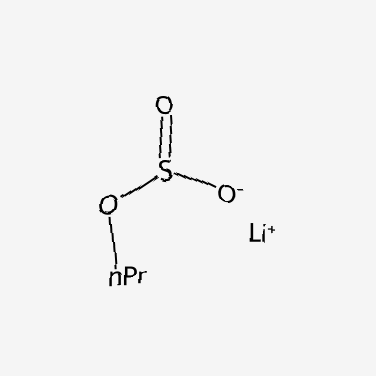 CCCOS(=O)[O-].[Li+]